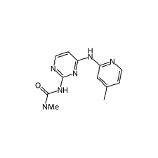 CNC(=O)Nc1nccc(Nc2cc(C)ccn2)n1